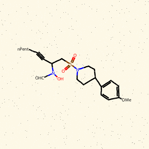 CCCCCC#CC(CS(=O)(=O)N1CCC(c2ccc(OC)cc2)CC1)N(O)C=O